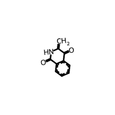 C=C1NC(=O)c2ccccc2C1=O